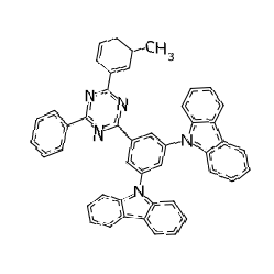 CC1C=C(c2nc(-c3ccccc3)nc(-c3cc(-n4c5ccccc5c5ccccc54)cc(-n4c5ccccc5c5ccccc54)c3)n2)C=CC1